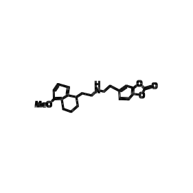 COc1cccc2c1CCCC2CCNCCc1ccc2oc(=O)oc2c1